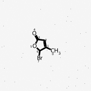 CC1=CC(=O)OC1Br